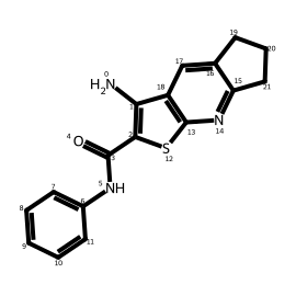 Nc1c(C(=O)Nc2ccccc2)sc2nc3c(cc12)CCC3